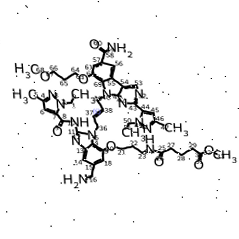 CCn1nc(C)cc1C(=O)Nc1nc2cc(CN)cc(OCCCNC(=O)CCCC(=O)OC)c2n1C/C=C/Cn1c2nc(-c3cc(C)nn3CC)ncc2c2cc(C(N)=O)cc(OCCCOC)c21